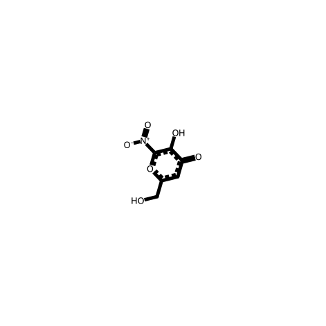 O=c1cc(CO)oc([N+](=O)[O-])c1O